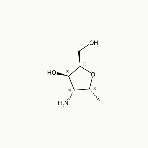 C[C@H]1O[C@H](CO)[C@H](O)[C@H]1N